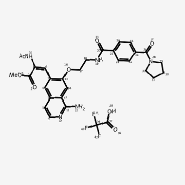 COC(=O)C(=Cc1cc2ccnc(N)c2cc1OCCNC(=O)c1ccc(C(=O)N2CCCC2)cc1)NC(C)=O.O=C(O)C(F)(F)F